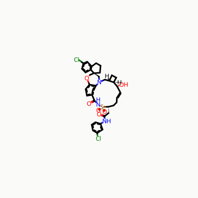 O=C(C[C@H]1CC/C=C/[C@H](O)[C@@H]2CC[C@H]2CN2C[C@@]3(CCCc4cc(Cl)ccc43)COc3ccc(cc32)C(=O)NS1(=O)=O)Nc1cccc(Cl)c1